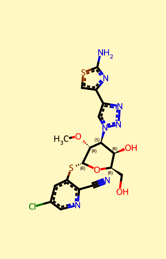 CO[C@@H]1[C@@H](n2cc(-c3csc(N)n3)nn2)[C@@H](O)[C@@H](CO)O[C@@H]1Sc1cc(Cl)cnc1C#N